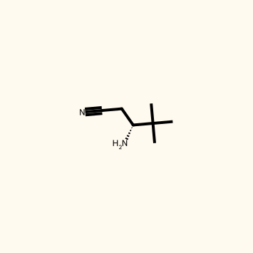 CC(C)(C)[C@H](N)CC#N